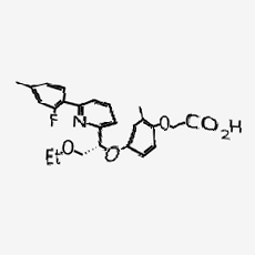 CCOC[C@@H](Oc1ccc(OCC(=O)O)c(C)c1)c1cccc(-c2ccc(C)cc2F)n1